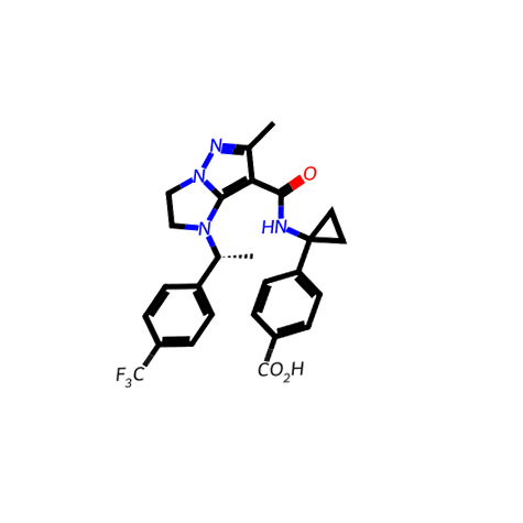 Cc1nn2c(c1C(=O)NC1(c3ccc(C(=O)O)cc3)CC1)N([C@H](C)c1ccc(C(F)(F)F)cc1)CC2